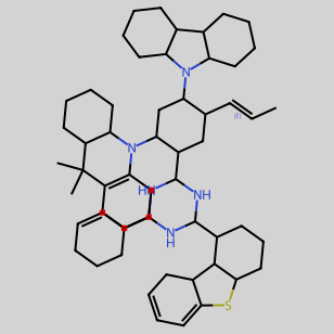 C/C=C/C1CC(C2NC(C3C=CCCC3)NC(C3CCCC4SC5=CC=CCC5C43)N2)C(N2C3=C(CCCC3)C(C)(C)C3CCCCC32)CC1N1C2CCCCC2C2CCCCC21